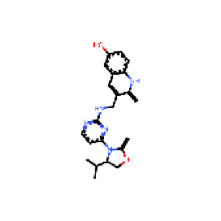 C=C1Nc2ccc(O)cc2C=C1CNc1nccc(N2C(=C)OCC2C(C)C)n1